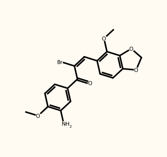 COc1ccc(C(=O)/C(Br)=C\c2ccc3c(c2OC)OCO3)cc1N